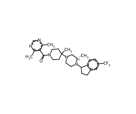 Cc1ncnc(C)c1C(=O)N1CCC(C)(N2CCN(C3CCc4cc(C(F)(F)F)ccc43)[C@@H](C)C2)CC1